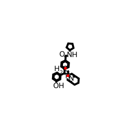 C=CCN1C2CCCC1CN(C(c1ccc(C(=O)NC3CCCC3)cc1)c1cccc(O)c1)C2